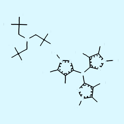 CC(C)(C)[CH2][Zr]([CH2]C(C)(C)C)[CH2]C(C)(C)C.Cc1c(B(c2nn(C)c(C)c2C)c2nn(C)c(C)c2C)nn(C)c1C